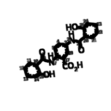 O=C(Nc1ccc(NC(=O)c2ccccc2O)c(C(=O)O)c1)c1ccccc1O